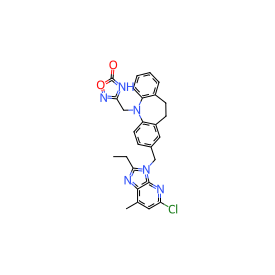 CCc1nc2c(C)cc(Cl)nc2n1Cc1ccc2c(c1)CCc1ccccc1N2Cc1noc(=O)[nH]1